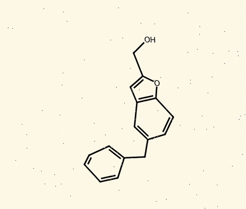 OCc1cc2cc(Cc3ccccc3)ccc2o1